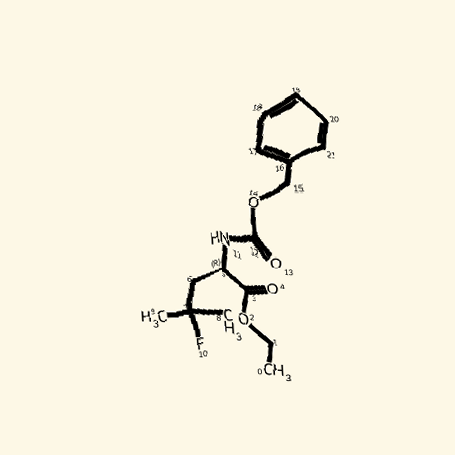 CCOC(=O)[C@@H](CC(C)(C)F)NC(=O)OCc1ccccc1